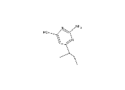 CCC(C)c1cc(O)nc(N)n1